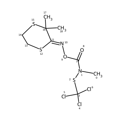 CN(SC(Cl)(Cl)Cl)C(=O)ON=C1SCCSC1(C)C